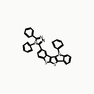 c1ccc(-c2nnc(-c3ccc4sc5sc6c7ccccc7n(-c7ccccc7)c6c5c4c3)n2-c2ccccc2)cc1